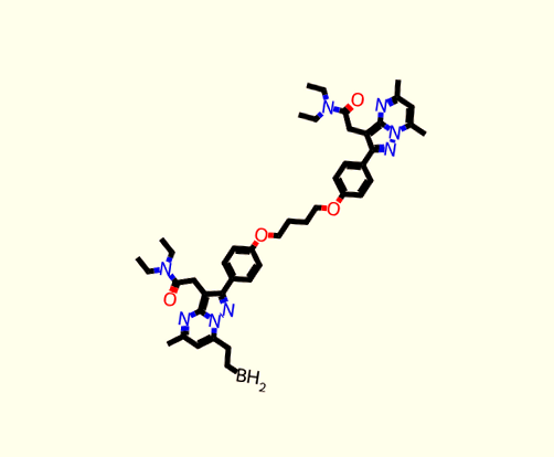 BCCc1cc(C)nc2c(CC(=O)N(CC)CC)c(-c3ccc(OCCCCOc4ccc(-c5nn6c(C)cc(C)nc6c5CC(=O)N(CC)CC)cc4)cc3)nn12